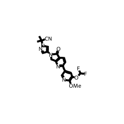 COc1ncc(-c2ccc3c(n2)CN(c2cnn(C(C)(C)C#N)c2)C3=O)cc1OC(F)F